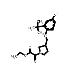 CCOC(=O)C(=O)N1CCC(COc2ccc(Cl)cc2C(C)(C)C)C1